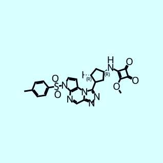 COc1c(N[C@@H]2CC(c3nnc4cnc5c(ccn5S(=O)(=O)c5ccc(C)cc5)n34)[C@H](I)C2)c(=O)c1=O